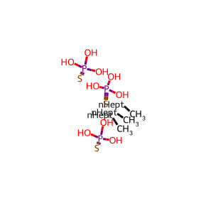 CCCCCCCC.CCCCCCCC.CCCCCCCC.OP(O)(O)=S.OP(O)(O)=S.OP(O)(O)=S